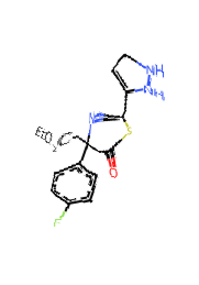 CCOC(=O)C1(c2ccc(F)cc2)N=C(C2=CCNN2)SC1=O